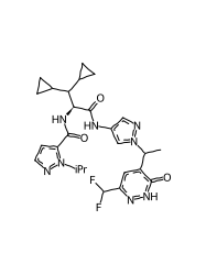 CC(c1cc(C(F)F)n[nH]c1=O)n1cc(NC(=O)[C@@H](NC(=O)c2ccnn2C(C)C)C(C2CC2)C2CC2)cn1